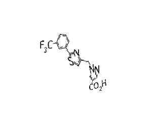 O=C(O)c1cnn(Cc2csc(-c3cccc(C(F)(F)F)c3)n2)c1